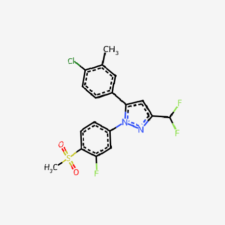 Cc1cc(-c2cc(C(F)F)nn2-c2ccc(S(C)(=O)=O)c(F)c2)ccc1Cl